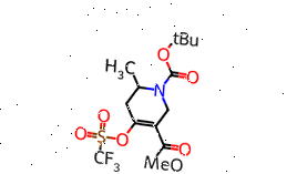 COC(=O)C1=C(OS(=O)(=O)C(F)(F)F)CC(C)N(C(=O)OC(C)(C)C)C1